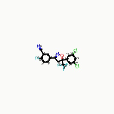 N#Cc1cc(C2=NOC(c3cc(Cl)cc(Cl)c3)(C(F)(F)F)C2)ccc1F